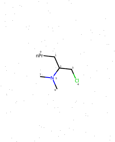 CCCCC(CCl)N(C)C